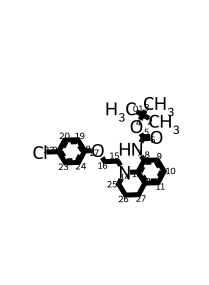 CC(C)(C)OC(=O)Nc1cccc2c1N(CCOc1ccc(Cl)cc1)CCC2